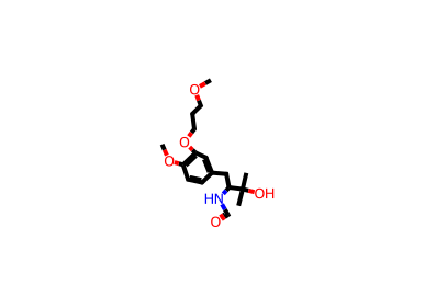 COCCCOc1cc(CC(NC=O)C(C)(C)O)ccc1OC